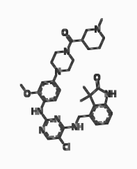 COc1cc(N2CCN(C(=O)C3CCCN(C)C3)CC2)ccc1Nc1ncc(Cl)c(NCc2cccc3c2C(C)(C)C(=O)N3)n1